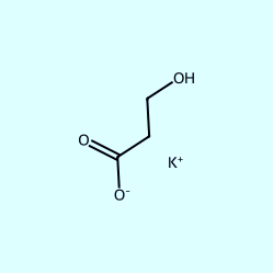 O=C([O-])CCO.[K+]